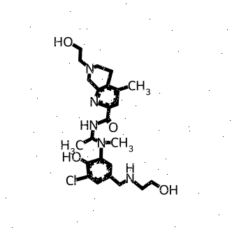 Cc1cc(C(=O)NC(C)N(C)c2cc(CNCCO)cc(Cl)c2O)nc2c1CCN(CCO)C2